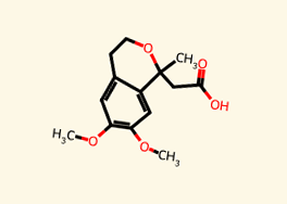 COc1cc2c(cc1OC)C(C)(CC(=O)O)OCC2